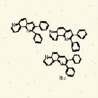 [Ru].c1ccc(-c2cc3ccc4ncccc4c3nc2-c2ccccc2)cc1.c1ccc(-c2cc3ccc4ncccc4c3nc2-c2ccccc2)cc1.c1ccc(-c2cc3ccc4ncccc4c3nc2-c2ccccc2)cc1